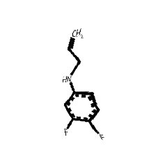 C=CCNc1ccc(F)c(F)c1